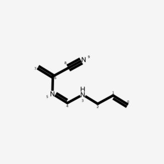 C=CCN/C=N\C(=C)C#N